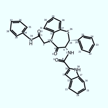 O=C(CN1C(=O)[C@@H](NC(=O)c2cc3ccccc3[nH]2)[C@@H](c2ccccc2)Sc2ccccc21)Nc1ccccc1